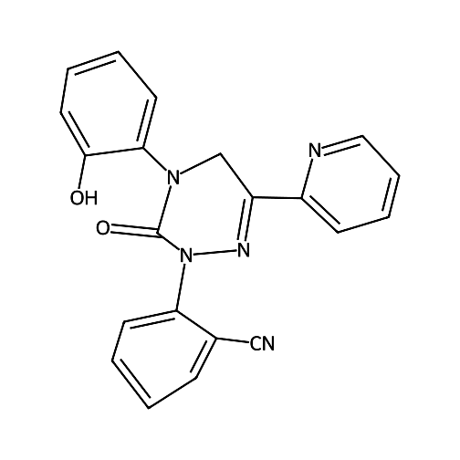 N#Cc1ccccc1N1N=C(c2ccccn2)CN(c2ccccc2O)C1=O